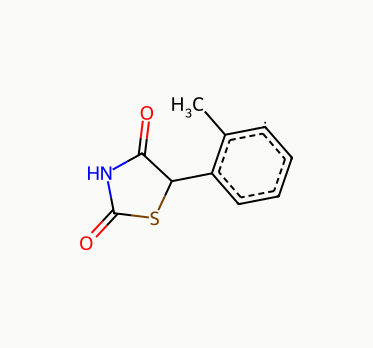 Cc1[c]cccc1C1SC(=O)NC1=O